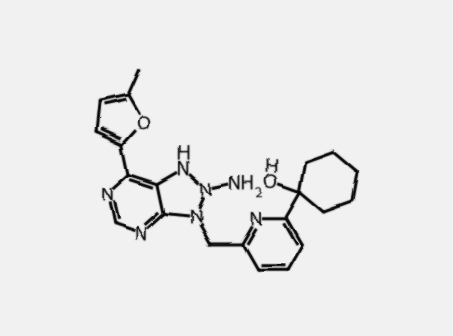 Cc1ccc(-c2ncnc3c2NN(N)N3Cc2cccc(C3(O)CCCCC3)n2)o1